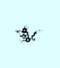 CCN(CCCCC(=O)O)c1ccc(OC(F)(F)F)cc1CN(Cc1cc(C(F)(F)F)cc(C(F)(F)F)c1)c1nnn(C)n1.Cl